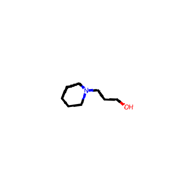 OCC[CH]N1CCCCC1